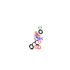 O=C1NC(=NS(=O)(=O)c2cccc(Cl)c2)SC1=C(Cc1ccccc1)C1=COCO1